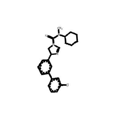 CN(C(=O)N1C=NC(c2cccc(-c3cccc(Cl)c3)c2)C1)C1CCCCC1